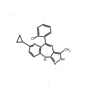 Cc1[nH]nc2c1N=C(c1ccccc1Cl)c1nc(C3CC3)ccc1N2